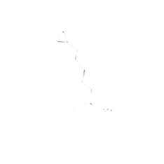 CO[SiH](C)CCCOCC1CO1